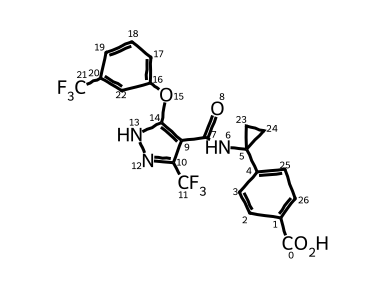 O=C(O)c1ccc(C2(NC(=O)c3c(C(F)(F)F)n[nH]c3Oc3cccc(C(F)(F)F)c3)CC2)cc1